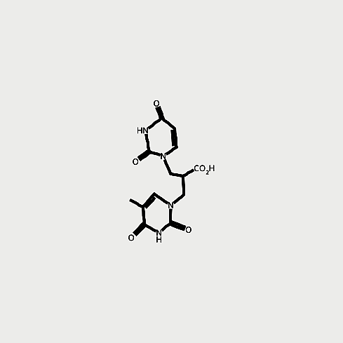 Cc1cn(CC(Cn2ccc(=O)[nH]c2=O)C(=O)O)c(=O)[nH]c1=O